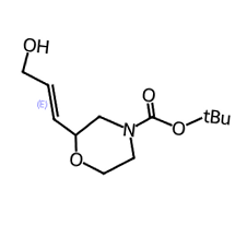 CC(C)(C)OC(=O)N1CCOC(/C=C/CO)C1